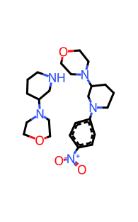 C1CNCC(N2CCOCC2)C1.O=[N+]([O-])c1ccc(N2CCCC(N3CCOCC3)C2)cc1